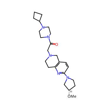 CO[C@H]1CCN(c2ccc3c(n2)CCN(CC(=O)N2CCN(C4CCC4)CC2)C3)C1